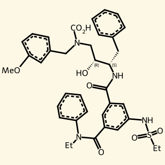 CCN(C(=O)c1cc(NS(=O)(=O)CC)cc(C(=O)N[C@@H](Cc2ccccc2)[C@H](O)CN(Cc2cccc(OC)c2)C(=O)O)c1)c1ccccc1